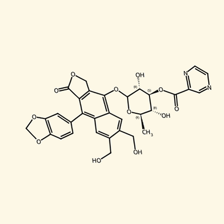 C[C@H]1OC(Oc2c3c(c(-c4ccc5c(c4)OCO5)c4cc(CO)c(CO)cc24)C(=O)OC3)[C@H](O)[C@@H](OC(=O)c2cnccn2)[C@@H]1O